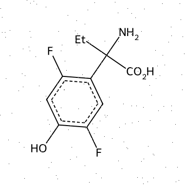 CCC(N)(C(=O)O)c1cc(F)c(O)cc1F